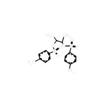 CC(OS(=O)(=O)c1ccc(C(F)(F)F)cc1)C(C)OS(=O)(=O)c1ccc(C(F)(F)F)cc1